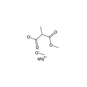 COC(=O)C(C)C(=O)[O-].C[O-].[Mg+2]